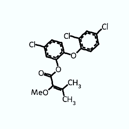 COC(C(=O)Oc1cc(Cl)ccc1Oc1ccc(Cl)cc1Cl)=C(C)C